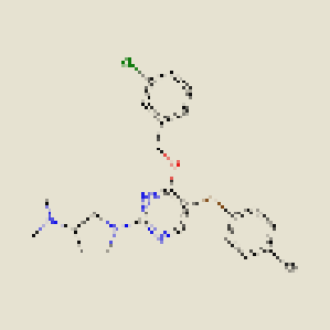 CN(C)C1CCN(c2ncc(Sc3ccc(C#N)cc3)c(OCc3cccc(Cl)c3)n2)C1